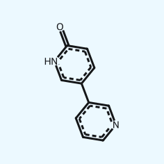 O=c1ccc(-c2cccnc2)c[nH]1